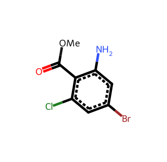 COC(=O)c1c(N)cc(Br)cc1Cl